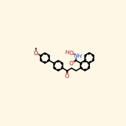 COc1ccc(-c2ccc(C(=O)CCc3ccc4ccccc4c3C(=O)NO)cc2)cc1